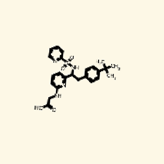 CC(C)(C)c1ccc(CC(NS(=O)(=O)c2ccccn2)c2cccc(NCC(=O)O)n2)cc1